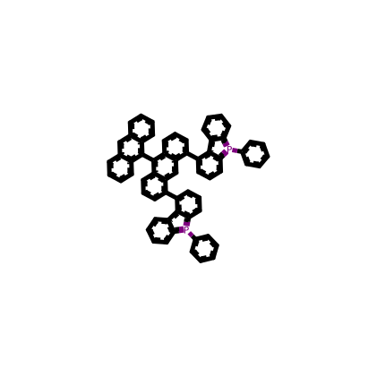 c1ccc(-p2c3ccccc3c3c(-c4cccc5c(-c6c7ccccc7cc7ccccc67)c6cccc(-c7cccc8c7c7ccccc7p8-c7ccccc7)c6cc45)cccc32)cc1